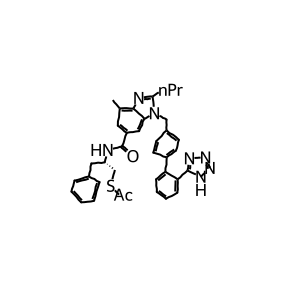 CCCc1nc2c(C)cc(C(=O)N[C@H](CSC(C)=O)Cc3ccccc3)cc2n1Cc1ccc(-c2ccccc2-c2nnn[nH]2)cc1